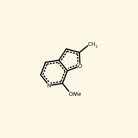 COc1nccc2cc(C)oc12